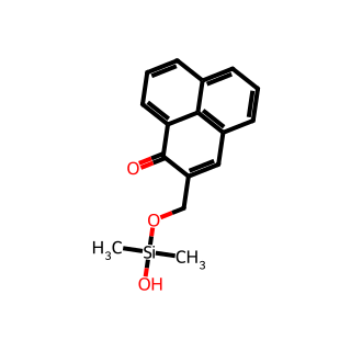 C[Si](C)(O)OCC1=Cc2cccc3cccc(c23)C1=O